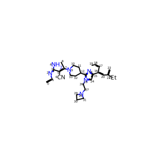 C=C/N=C(N)\C(C#N)=C(/C)N1CCC(c2nc(C(/C=C\C)=C/C(=C)CC)cn2CCN2CCC2)CC1